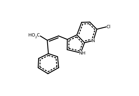 O=C(O)C(=Cc1c[nH]c2nc(Cl)ccc12)c1ccccc1